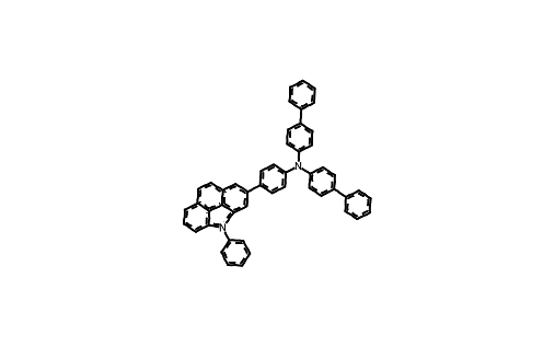 c1ccc(-c2ccc(N(c3ccc(-c4ccccc4)cc3)c3ccc(-c4cc5ccc6cccc7c6c5c(c4)n7-c4ccccc4)cc3)cc2)cc1